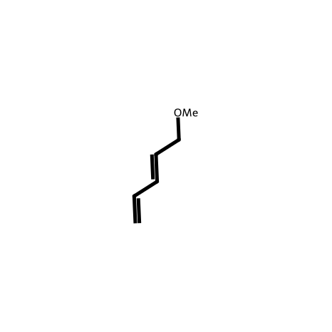 C=CC=CCOC